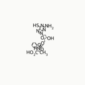 CC(NP(=O)(COC[C@H]1O[C@@H](n2cnc3c(S)nc(N)nc32)C[C@@H]1O)Oc1ccccc1)C(=O)O